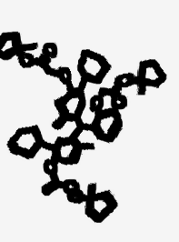 C=C(OOC1(C)CCCC1)Oc1cc(C)c(C(c2cc(C3CCCCC3)c(OCC(=O)OC3(C)CCCC3)cc2C)c2ccccc2OCC(=O)OC2(C)CCCC2)cc1C1CCCCC1